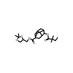 CCC(C)(C)C(=O)OC1C2CC3CC1CC(C(=O)OCC1COC(C)(C)O1)(C3)C2